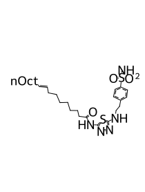 CCCCCCCCC=CCCCCCCCC(=O)Nc1nnc(NCCc2ccc(S(N)(=O)=O)cc2)s1